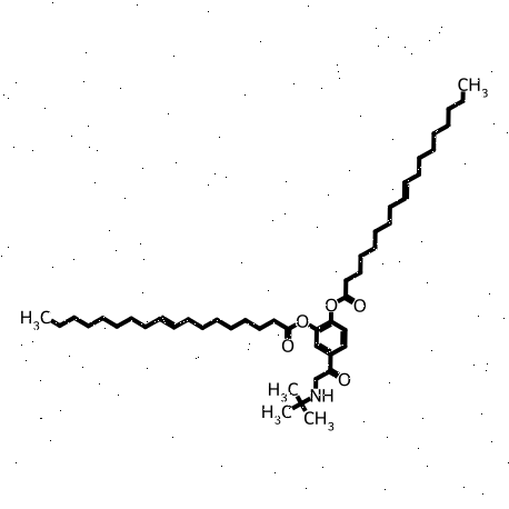 CCCCCCCCC=CCCCCCCCC(=O)Oc1ccc(C(=O)CNC(C)(C)C)cc1OC(=O)CCCCCCCC=CCCCCCCCC